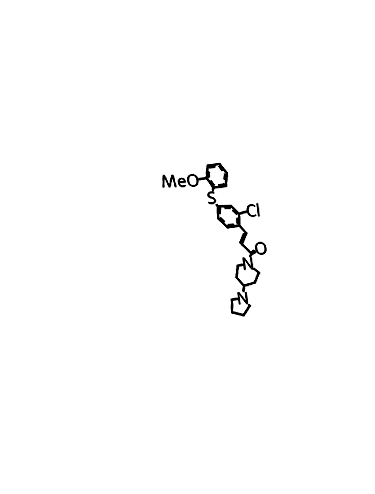 COc1ccccc1Sc1ccc(/C=C/C(=O)N2CCC(N3CCCC3)CC2)c(Cl)c1